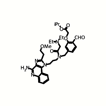 CCN(CC)CC(=O)N(CCCn1c(CCOC)nc2c(N)nc3ccccc3c21)Cc1ccc(C=O)c(OCC(=O)OC(C)C)c1